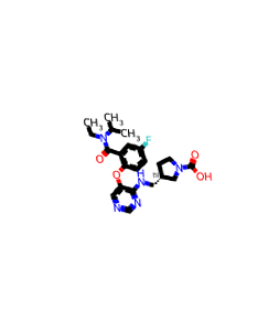 CCN(C(=O)c1cc(F)ccc1Oc1cncnc1NC[C@@H]1CCN(C(=O)O)C1)C(C)C